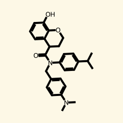 CC(C)c1ccc(N(Cc2ccc(N(C)C)cc2)C(=O)C2CCOc3c(O)cccc32)cc1